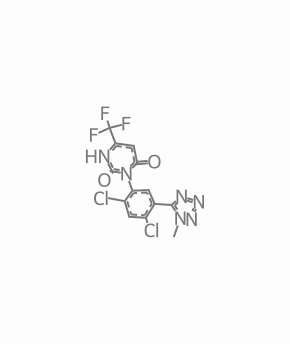 Cn1nnnc1-c1cc(-n2c(=O)cc(C(F)(F)F)[nH]c2=O)c(Cl)cc1Cl